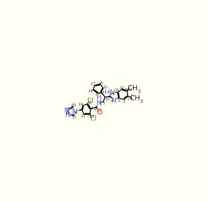 Cc1cc2nc(C(CNC(=O)c3c(Cl)cc(-n4cnnc4)cc3Cl)c3ccccc3)[nH]c2cc1C